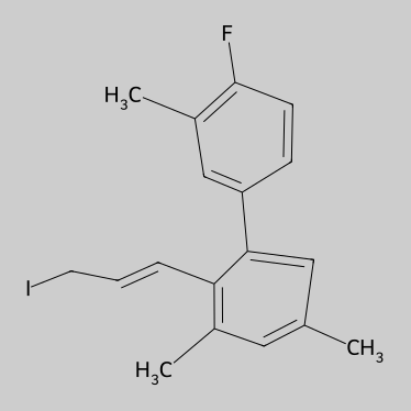 Cc1cc(C)c(/C=C/CI)c(-c2ccc(F)c(C)c2)c1